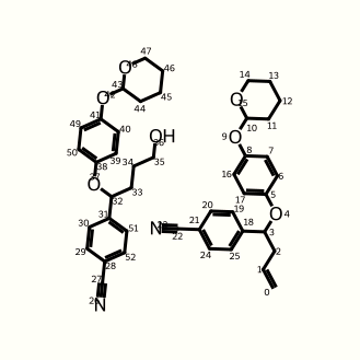 C=CCC(Oc1ccc(OC2CCCCO2)cc1)c1ccc(C#N)cc1.N#Cc1ccc(C(CCCO)Oc2ccc(OC3CCCCO3)cc2)cc1